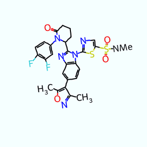 CNS(=O)(=O)c1cnc(-n2c(C3CCCC(=O)N3c3ccc(F)c(F)c3)nc3cc(-c4c(C)noc4C)ccc32)s1